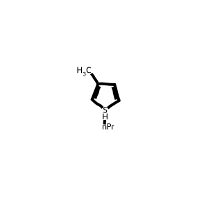 CCC[SH]1C=CC(C)=C1